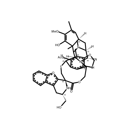 COC1=C(O)C2(C)C3[C@@H]4[C@@H]5SC[C@]6(N[C@H](CO)Cc7c6oc6ccccc76)C(=O)OC[C@@H](c6c7c(c(C)c(OC(C)=O)c65)OCO7)N4[C@@H](C#N)[C@H](C[C@@H]2C=C1C)N3C